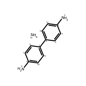 Nc1ccc(-c2ccc(N)cc2)cc1.[SiH4]